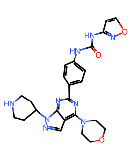 O=C(Nc1ccc(-c2nc(N3CCOCC3)c3cnn(C4CCNCC4)c3n2)cc1)Nc1ccon1